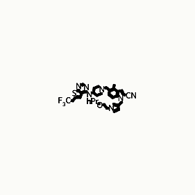 CCCOCCn1ccc(Cn2c(C#N)cc3c(C)c(CN4CCC(Nc5ncnc6sc(CC(F)(F)F)cc56)CC4)ccc32)c1